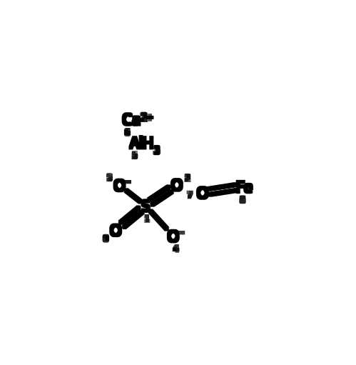 O=S(=O)([O-])[O-].[AlH3].[Ca+2].[O]=[Fe]